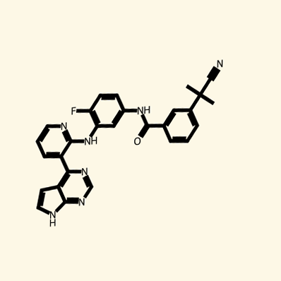 CC(C)(C#N)c1cccc(C(=O)Nc2ccc(F)c(Nc3ncccc3-c3ncnc4[nH]ccc34)c2)c1